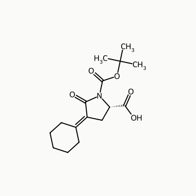 CC(C)(C)OC(=O)N1C(=O)C(=C2CCCCC2)C[C@H]1C(=O)O